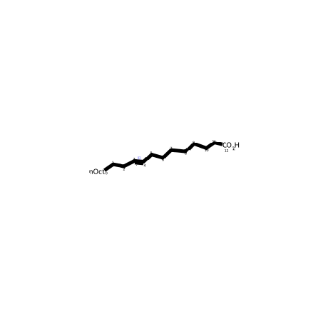 CCCCCCCCCC/C=C/CCCCCCCC(=O)O